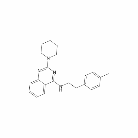 Cc1ccc(CCNc2nc(N3CCCCC3)nc3ccccc23)cc1